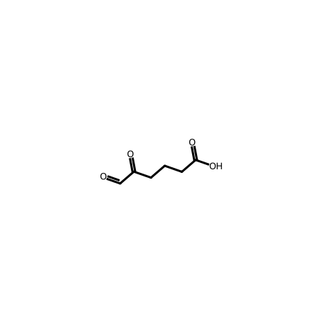 O=CC(=O)CCCC(=O)O